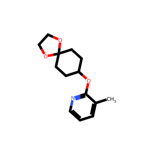 Cc1cccnc1OC1CCC2(CC1)OCCO2